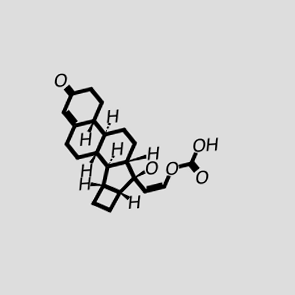 C[C@]12CC[C@H]3[C@@H](CCC4=CC(=O)CC[C@@H]43)[C@@H]1[C@H]1CC[C@H]1[C@@]2(O)/C=C\OC(=O)O